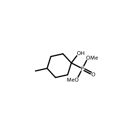 COP(=O)(OC)C1(O)CCC(C)CC1